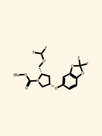 CC(C)(C)OC(=O)N1C[C@@H](Oc2ccc3c(c2)OC(F)(F)O3)C[C@H]1COC(F)F